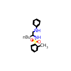 CCCCC(CNc1ccccc1)NS(=O)(=O)c1ccccc1C